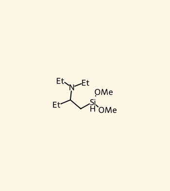 CCC(C[SiH](OC)OC)N(CC)CC